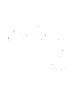 CC(CC1CCC(c2ccccc2)CC1)NCc1ccccc1